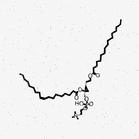 CCCCCCCC/C=C\CCCCCCCC(=O)O[C@]1(COP(=O)(O)OCC[N+](C)(C)C)C[C@H]1CCOC(=O)CCCCCCCCCCCCCCC